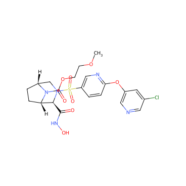 COCCOC(=O)N1[C@@H]2CC[C@H]1[C@H](C(=O)NO)N(S(=O)(=O)c1ccc(Oc3cncc(Cl)c3)nc1)C2